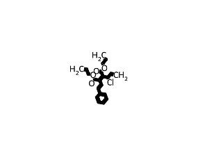 C=CCOC(=O)C(C=Cc1ccccc1)=C(C(=O)OCC=C)C(Cl)C=C